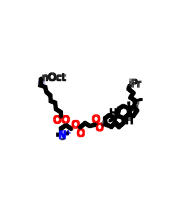 CCCCCCCC/C=C\CCCCCCCC(=O)OC(COC(=O)CCC(=O)O[C@H]1CC[C@@]2(C)C(=CC[C@H]3[C@@H]4CC[C@H]([C@H](C)CCCC(C)C)[C@@]4(C)CC[C@@H]32)C1)C[N+](C)(C)C